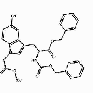 CC(C)(C)OC(=O)Cn1cc(CC(NC(=O)OCc2ccccc2)C(=O)OCc2ccccc2)c2cc(C#N)ccc21